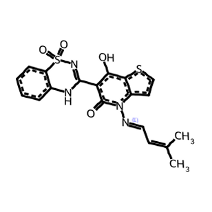 CC(C)=C/C=N/n1c(=O)c(C2=NS(=O)(=O)c3ccccc3N2)c(O)c2sccc21